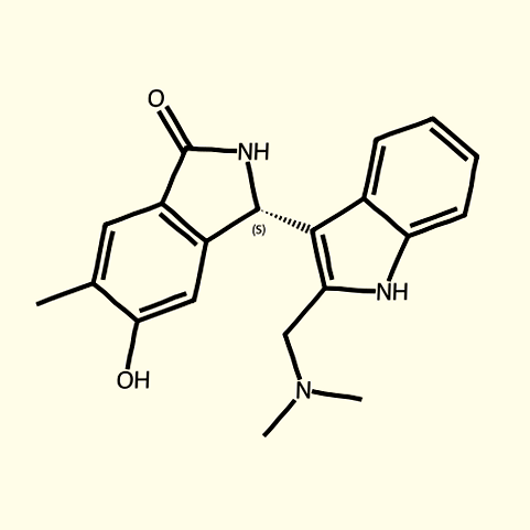 Cc1cc2c(cc1O)[C@@H](c1c(CN(C)C)[nH]c3ccccc13)NC2=O